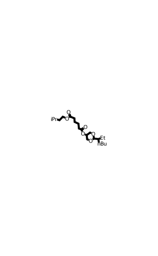 CCCCC(CC)C1OCC(OC(=O)CCCCC(=O)OCCC(C)C)CO1